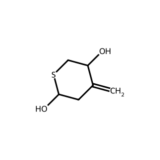 C=C1CC(O)SCC1O